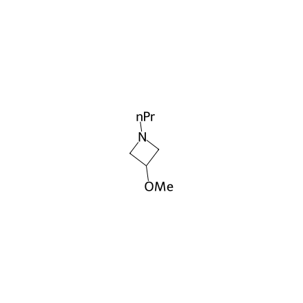 CCCN1CC(OC)C1